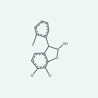 [O]c1ccc2c(c1Cl)ON(O)C2c1ccccc1F